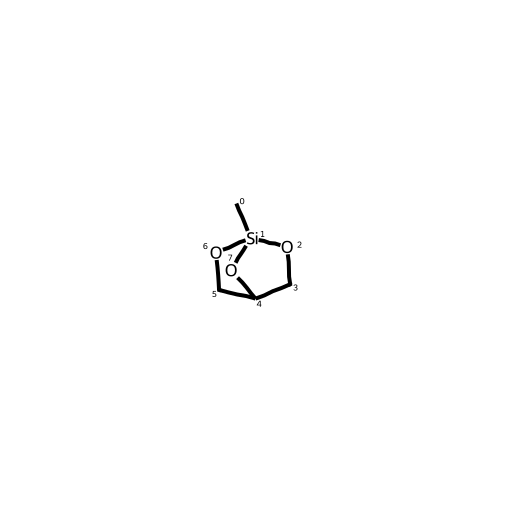 C[Si]12OCC(CO1)O2